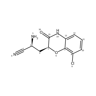 N#C[C@@H](N)C[C@@H]1Oc2c(Cl)cccc2NC1=O